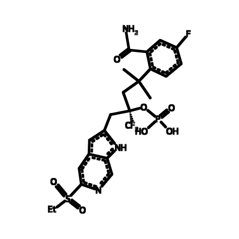 CCS(=O)(=O)c1cc2cc(C[C@@](CC(C)(C)c3ccc(F)cc3C(N)=O)(OP(=O)(O)O)C(F)(F)F)[nH]c2cn1